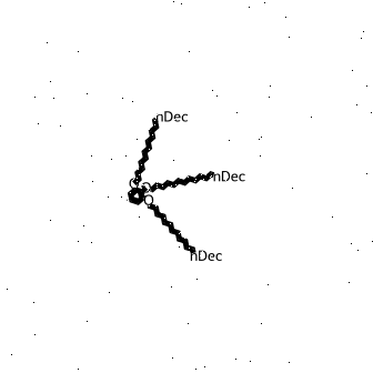 CCCCCCCCCCCCCCCCCCCCCCOc1c[c]cc(OCCCCCCCCCCCCCCCCCCCCCC)c1OCCCCCCCCCCCCCCCCCCCCCC